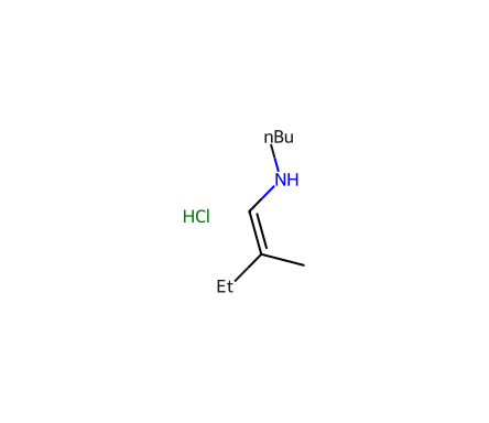 CCCCNC=C(C)CC.Cl